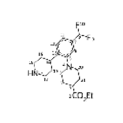 CCOC(=O)C1CCN(c2cc(C(F)F)ccc2C2CCNCC2)CC1